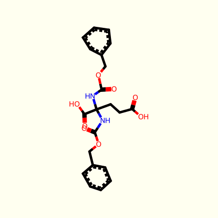 O=C(O)CCC(NC(=O)OCc1ccccc1)(NC(=O)OCc1ccccc1)C(=O)O